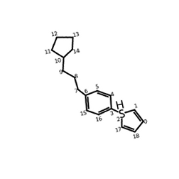 C1=C[SH](c2ccc(CCCC3CCCC3)cc2)C=C1